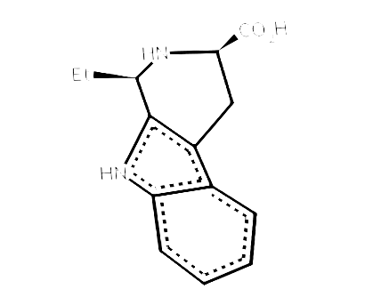 CC[C@H]1N[C@@H](C(=O)O)Cc2c1[nH]c1ccccc21